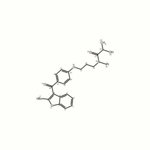 CCCCc1oc2ccccc2c1C(=O)c1ccc(OCCCN(C(=O)C(C)O)C(C)C)cc1